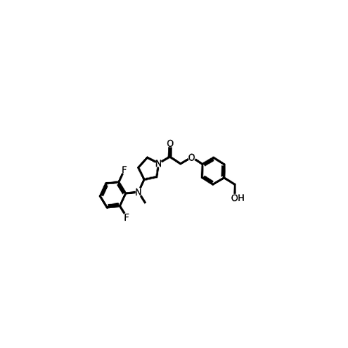 CN(c1c(F)cccc1F)C1CCN(C(=O)COc2ccc(CO)cc2)C1